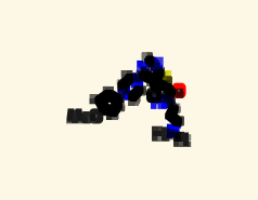 CCN(CC)CCCNC(=O)c1sc2ncnc(N3CCN(c4ccc(OC)cc4)CC3)c2c1C